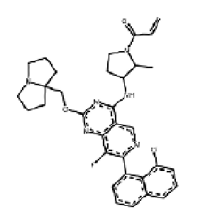 C=CC(=O)N1CCC(Nc2nc(OCC34CCCN3CCC4)nc3c(F)c(-c4cccc5cccc(Cl)c45)ncc23)C1C